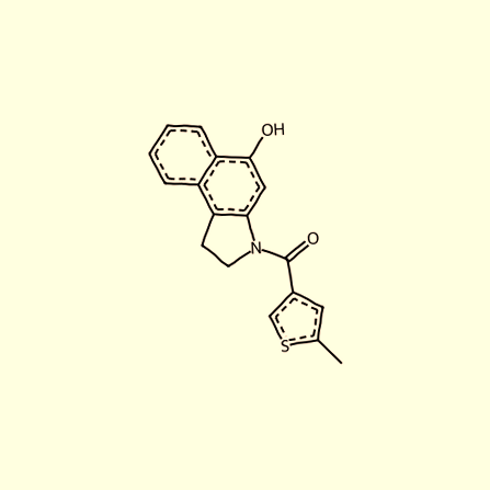 Cc1cc(C(=O)N2CCc3c2cc(O)c2ccccc32)cs1